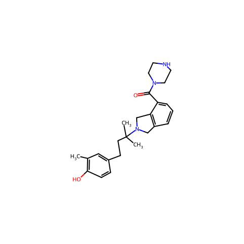 Cc1cc(CCC(C)(C)N2Cc3cccc(C(=O)N4CCNCC4)c3C2)ccc1O